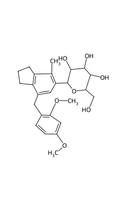 COc1ccc(Cc2cc(C3OC(CO)C(O)C(O)C3O)c(C)c3c2CCC3)c(OC)c1